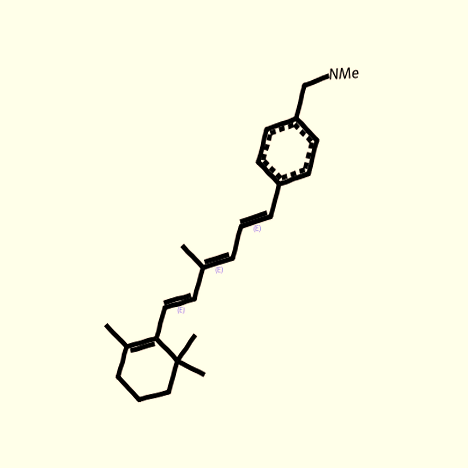 CNCc1ccc(/C=C/C=C(C)/C=C/C2=C(C)CCCC2(C)C)cc1